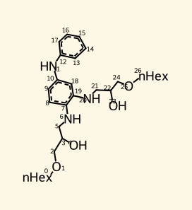 CCCCCCOCC(O)CNc1ccc(Nc2ccccc2)cc1NCC(O)COCCCCCC